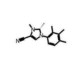 Cc1ccc(N2C=C(C#N)N(C)[C@@H]2C)c(C)c1C